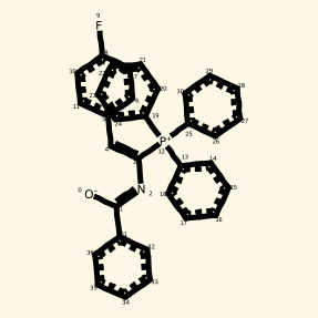 [O-]/C(=N\C(=C\c1ccc(F)cc1)[P+](c1ccccc1)(c1ccccc1)c1ccccc1)c1ccccc1